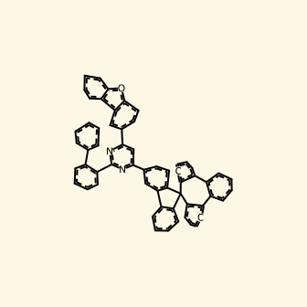 c1ccc(-c2ccccc2-c2nc(-c3ccc4c(c3)-c3ccccc3C43c4ccccc4-c4ccccc4-c4ccccc43)cc(-c3ccc4oc5ccccc5c4c3)n2)cc1